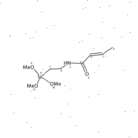 CC=CC(=O)NCC[Si](OC)(OC)OC